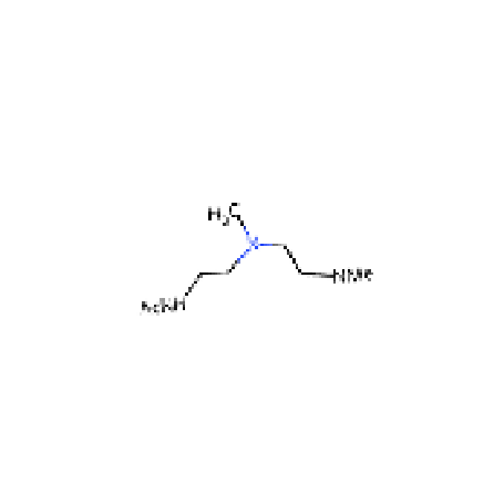 CNCCN(C)CCNC(C)=O